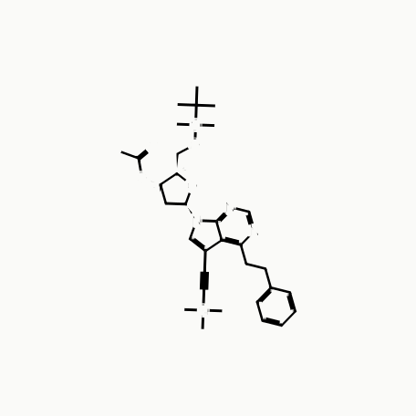 CC(=O)O[C@H]1C[C@H](n2cc(C#C[Si](C)(C)C)c3c(CCc4ccccc4)ncnc32)O[C@@H]1CO[Si](C)(C)C(C)(C)C